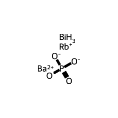 O=P([O-])([O-])[O-].[Ba+2].[BiH3].[Rb+]